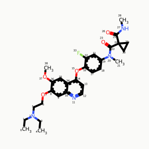 CCN(CC)CCOc1cc2nccc(Oc3ccc(N(C)C(=O)C4(C(=O)NC)CC4)cc3F)c2cc1OC